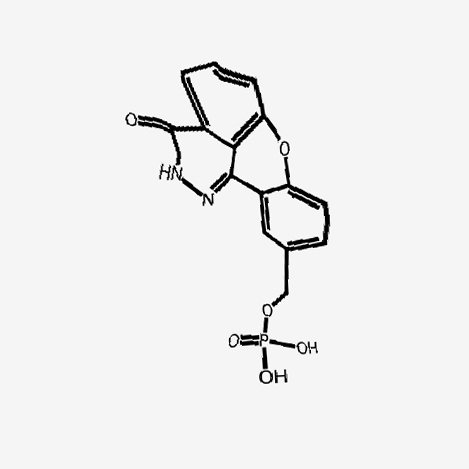 O=c1[nH]nc2c3c(cccc13)Oc1ccc(COP(=O)(O)O)cc1-2